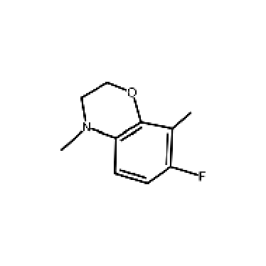 Cc1c(F)ccc2c1OCCN2C